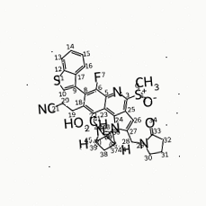 C[S+]([O-])c1nc2c(F)c(-c3csc4ccccc34)c(CCC#N)cc2c2c1cc(CN1CCCC1=O)n2[C@H]1[C@@H]2C[C@H]1N(C(=O)O)C2